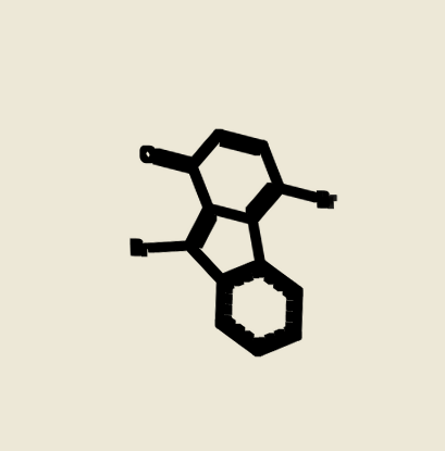 O=C1C=CC(Br)=C2C1=C(Br)c1ccccc12